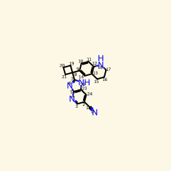 N#Cc1cnc2nc(C3(c4ccc5c(c4)CCCN5)CCC3)[nH]c2c1